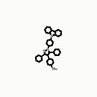 CC(C)(C)c1ccc(-c2c(-c3ccccc3)nn(-c3ccc(-n4c5ccccc5c5ccccc54)cc3)c2-c2ccccc2)cc1